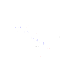 Cn1nccc1C(=O)NC(C(=O)Nc1ccc2c(n1)N(COCC[Si](C)(C)C)C(=O)C21CCOCC1)C1CCCCCCC1